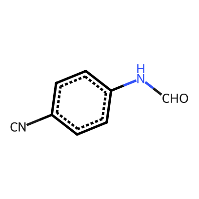 [C-]#[N+]c1ccc(NC=O)cc1